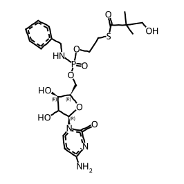 CC(C)(CO)C(=O)SCCOP(=O)(NCc1ccccc1)OC[C@H]1O[C@@H](n2ccc(N)nc2=O)C(O)[C@H]1O